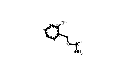 NC(=O)OCc1cccnc1Cl